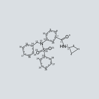 O=C(NC1CCC1)c1cccc(N(Cc2ccccc2)S(=O)(=O)c2ccccc2)c1